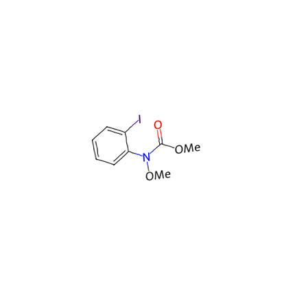 COC(=O)N(OC)c1ccccc1I